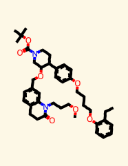 CCc1ccccc1OCCCCOc1ccc(C2CCN(C(=O)OC(C)(C)C)CC2OCc2ccc3c(c2)N(CCCOC)C(=O)CC3)cc1